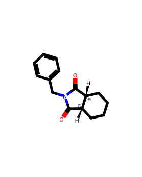 O=C1[C@H]2CCCC[C@H]2C(=O)N1Cc1ccccc1